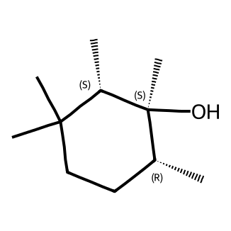 C[C@@H]1CCC(C)(C)[C@H](C)[C@@]1(C)O